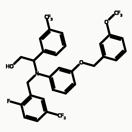 OCC(c1cccc(C(F)(F)F)c1)N(Cc1cc(C(F)(F)F)ccc1F)c1cccc(OCc2cccc(OC(F)(F)F)c2)c1